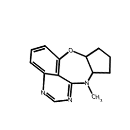 CN1c2ncnc3cccc(c23)OC2CCCC21